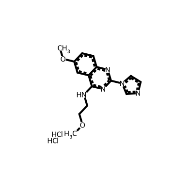 COCCNc1nc(-n2ccnc2)nc2ccc(OC)cc12.Cl.Cl